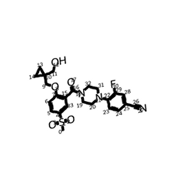 CS(=O)(=O)c1ccc(OCC2(CO)CC2)c(C(=O)N2CCN(c3ccc(C#N)cc3F)CC2)c1